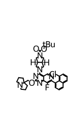 CC(C)(C)OC(=O)N1C[C@@H]2CN(c3nc(OCC45CCCN4CCC5)nc4c(F)c(-c5cccc6cccc(Cl)c56)ncc34)C[C@@H]2C1